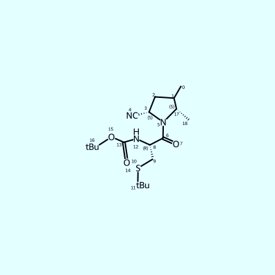 CC1C[C@@H](C#N)N(C(=O)[C@H](CSC(C)(C)C)NC(=O)OC(C)(C)C)[C@H]1C